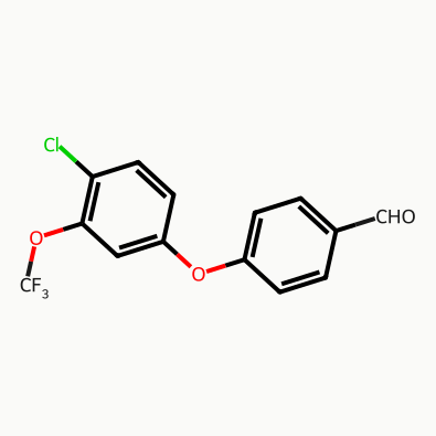 O=Cc1ccc(Oc2ccc(Cl)c(OC(F)(F)F)c2)cc1